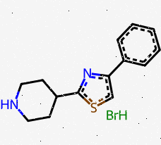 Br.c1ccc(-c2csc(C3CCNCC3)n2)cc1